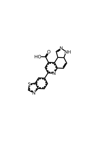 O=C(O)c1cc(-c2ccc3ncsc3c2)nc2c1C1C=NNC1C=C2